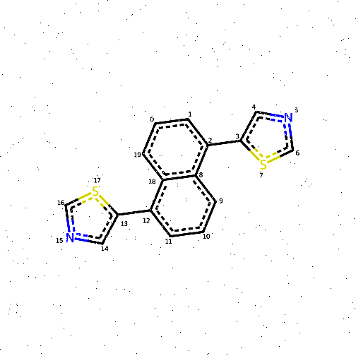 c1cc(-c2cncs2)c2cccc(-c3cncs3)c2c1